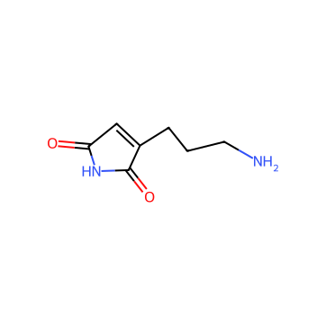 NCCCC1=CC(=O)NC1=O